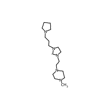 CN1CCN(CCN2[C]N(CCCN3CCCC3)CC2)CC1